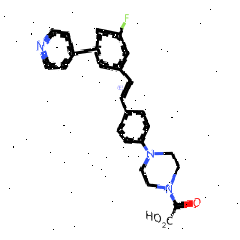 O=C(O)C(=O)N1CCN(c2ccc(/C=C/c3cc(F)cc(-c4ccncc4)c3)cc2)CC1